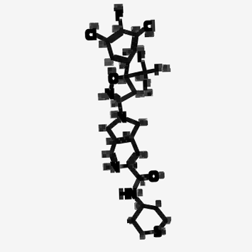 O=C(NC1CCSCC1)c1cc2c(cn1)CN(C1=NOC(c3cc(Cl)c(F)c(Cl)c3)(C(F)(F)F)C1)C2